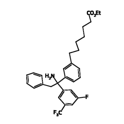 CCOC(=O)CCCCCCc1cccc(C(N)(Cc2ccccc2)c2cc(F)cc(C(F)(F)F)c2)c1